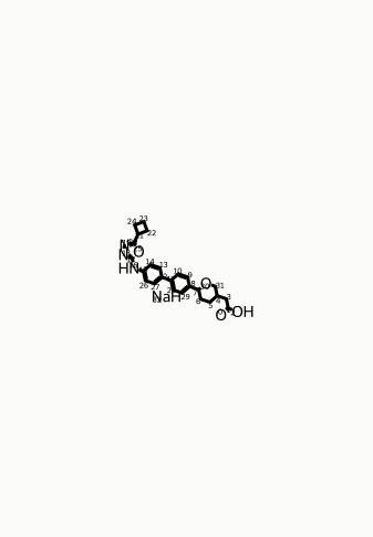 O=C(O)CC1CCC(c2ccc(-c3ccc(Nc4nnc(C5CCC5)o4)cc3)cc2)OC1.[NaH]